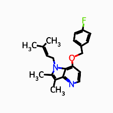 CC(C)=CCn1c(C)c(C)c2nccc(OCc3ccc(F)cc3)c21